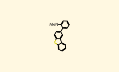 CNc1ccccc1-c1ccc2sc3ccccc3c2c1